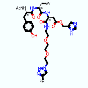 [3H]c1cn(CCOCCOCCNC(=O)[C@H](CC(=O)OCc2cnc[nH]2)NC(=O)[C@@H](CC(C)C)NC(=O)[C@H](Cc2ccc(O)cc2)NC(C)=O)nn1